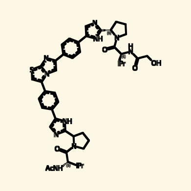 CC(=O)N[C@H](C(=O)N1CCCC1c1ncc(-c2ccc(-c3csc4nc(-c5ccc(-c6cnc([C@@H]7CCCN7C(=O)[C@@H](NC(=O)CO)C(C)C)[nH]6)cc5)cn34)cc2)[nH]1)C(C)C